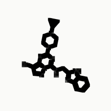 Brc1cnn2c(NCc3nc4ccccc4[nH]3)nc(N3CCN(C4CC4)CC3)nc12